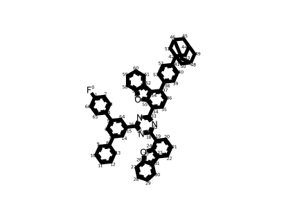 Fc1ccc(-c2cc(-c3ccccc3)cc(-c3nc(-c4cccc5c4oc4ccccc45)nc(-c4ccc(-c5ccc(C67CC8CC(CC(C8)C6)C7)cc5)c5c4oc4ccccc45)n3)c2)cc1